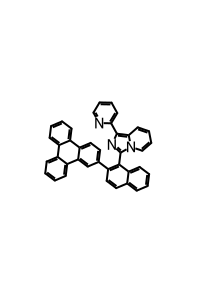 c1ccc(-c2nc(-c3c(-c4ccc5c6ccccc6c6ccccc6c5c4)ccc4ccccc34)n3ccccc23)nc1